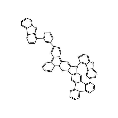 c1cc(-c2ccc3c(c2)c2ccccc2c2cc4c5cc6c7ccccc7c7ccccc7c6cc5n(-c5cccc6sc7ccccc7c56)c4cc32)cc(-c2cccc3c2sc2ccccc23)c1